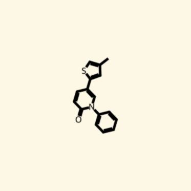 Cc1csc(-c2ccc(=O)n(-c3ccccc3)c2)c1